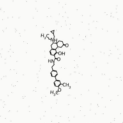 CCN(CC1CC1)[C@@H]1Cc2ccc(C(=O)NCCc3ccc(-c4ccc(OC)c(C)c4)cc3)c(O)c2C2CC(=O)CC[C@H]21